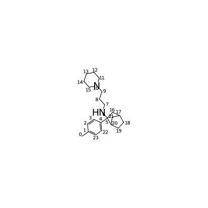 Cc1ccc(C2(NCCCN3CCCCC3)CC3CCC2C3)cc1